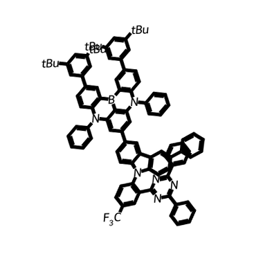 CC(C)(C)c1cc(-c2ccc3c(c2)B2c4cc(-c5cc(C(C)(C)C)cc(C(C)(C)C)c5)ccc4N(c4ccccc4)c4cc(-c5ccc6c(c5)c5cc(-c7ccccc7)ccc5n6-c5ccc(C(F)(F)F)cc5-c5nc(-c6ccccc6)nc(-c6ccccc6)n5)cc(c42)N3c2ccccc2)cc(C(C)(C)C)c1